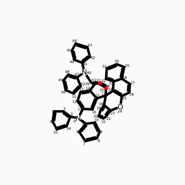 c1ccc(N(c2ccccc2)c2ccc3c(c2)C2(c4ccccc4Oc4ccc5ccccc5c42)c2cccc(N(c4ccccc4)c4ccccc4)c2-3)cc1